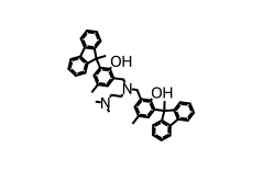 Cc1cc(CN(CCN(C)C)Cc2cc(C)cc(C3(C)c4ccccc4-c4ccccc43)c2O)c(O)c(C2(C)c3ccccc3-c3ccccc32)c1